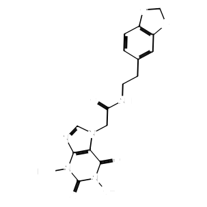 Cn1c(=O)c2c(ncn2CC(=O)NCCc2ccc3c(c2)OCO3)n(C)c1=O